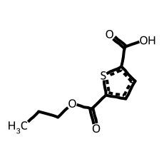 CCCOC(=O)c1ccc(C(=O)O)s1